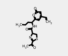 C=Cc1cc(C(CCC)NC(=O)C2CSC(C(C)=O)=N2)oc(=O)c1